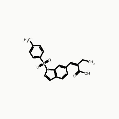 CCC(=Cc1ccc2ccn(S(=O)(=O)c3ccc(C)cc3)c2c1)C(=O)O